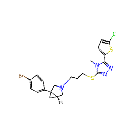 Cn1c(SCCCN2C[C@@H]3C[C@]3(c3ccc(Br)cc3)C2)nnc1-c1ccc(Cl)s1